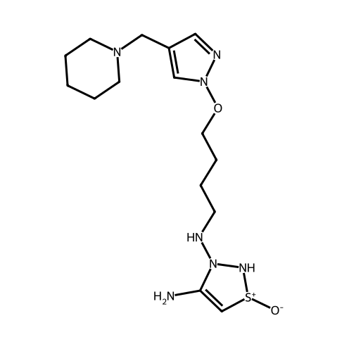 NC1=C[S+]([O-])NN1NCCCCOn1cc(CN2CCCCC2)cn1